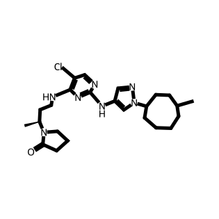 CC1CCCCC(n2cc(Nc3ncc(Cl)c(NCC[C@H](C)N4CCCC4=O)n3)cn2)CC1